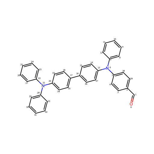 O=Cc1ccc(N(c2ccccc2)c2ccc(-c3ccc(N(c4ccccc4)c4ccccc4)cc3)cc2)cc1